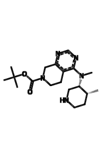 C[C@@H]1CCNC[C@@H]1N(C)c1ncnc2c1CCN(C(=O)OC(C)(C)C)C2